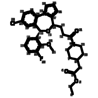 CCOC(=O)CC1CCN(C(=O)CC[C@H]2O[C@H](c3cccc(F)c3OC)c3cc(Cl)ccc3-n3cccc32)CC1